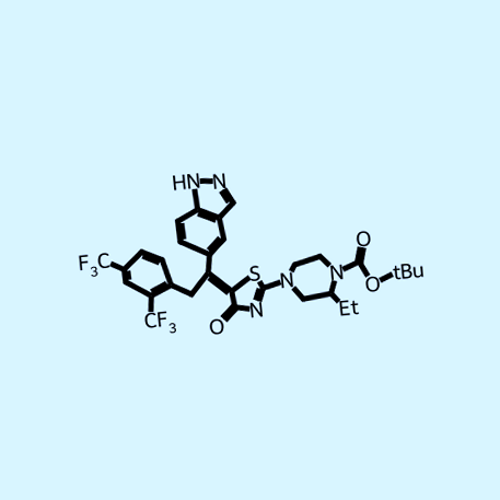 CCC1CN(C2=NC(=O)C(=C(Cc3ccc(C(F)(F)F)cc3C(F)(F)F)c3ccc4[nH]ncc4c3)S2)CCN1C(=O)OC(C)(C)C